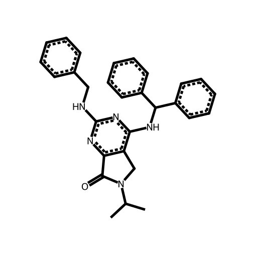 CC(C)N1Cc2c(NC(c3ccccc3)c3ccccc3)nc(NCc3ccccc3)nc2C1=O